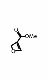 COC(=O)C1=COC1